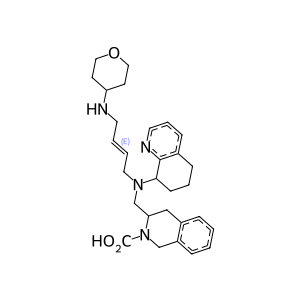 O=C(O)N1Cc2ccccc2CC1CN(C/C=C/CNC1CCOCC1)C1CCCc2cccnc21